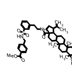 C=C(C)C1CCC2(C(=O)NCCc3cccc(S(=O)(=O)NCc4ccc(C(=O)OC)cc4)c3)CCC3C(CCC4C3(C)CCC3C(C)(C)C(O)CCC34C)C12